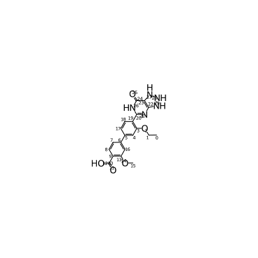 CCOc1cc(-c2ccc(C(=O)O)c(OC)c2)ccc1-c1nc2c(c(=O)[nH]1)NNN2